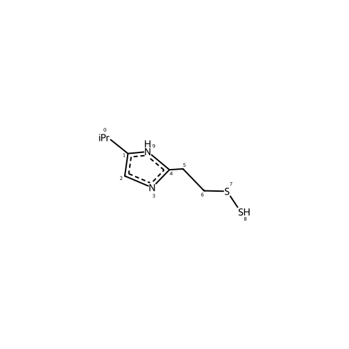 CC(C)c1cnc(CCSS)[nH]1